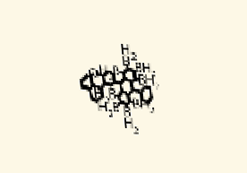 Bc1c(B)c(B)c2c(-c3ccc4c(c3)-c3cccc5cccc(c35)O4)c3c(B)c(B)c(B)c(B)c3c(-c3ccccc3)c2c1B